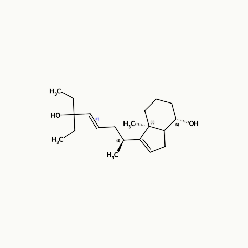 CCC(O)(/C=C/C[C@H](C)C1=CCC2[C@@H](O)CCC[C@]12C)CC